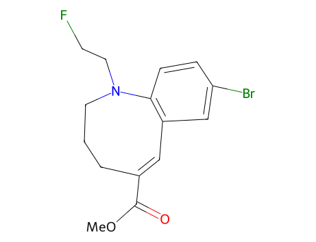 COC(=O)/C1=C/c2cc(Br)ccc2N(CCF)CCC1